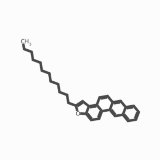 CCCCCCCCCCCCc1cc2c(ccc3c4cc5ccccc5cc4ccc23)o1